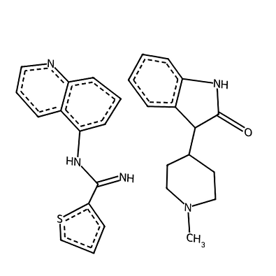 CN1CCC(C2C(=O)Nc3ccccc32)CC1.N=C(Nc1cccc2ncccc12)c1cccs1